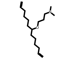 C=CCCCCC(CCCCC=C)OCCCN(C)C